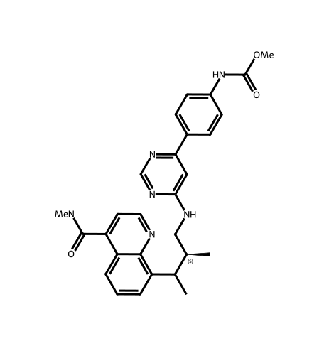 CNC(=O)c1ccnc2c(C(C)[C@H](C)CNc3cc(-c4ccc(NC(=O)OC)cc4)ncn3)cccc12